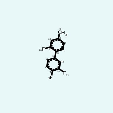 Cc1ccc(-c2ccc(F)c(F)c2)c(F)c1